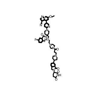 CCOc1cc(-c2ccc(N3CCC(COCCN4CCN(C(=O)CCN5CCC(c6ccc7c(c6)C(=O)N(C6CCC(=O)NC6=O)C7)CC5)CC4)(NC(=O)c4cc(F)ccc4F)CC3)nc2)c2c(C#N)cnn2c1